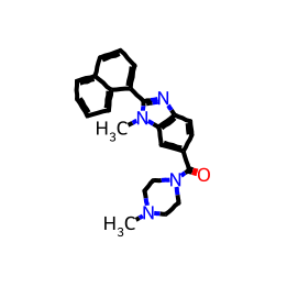 CN1CCN(C(=O)c2ccc3nc(-c4cccc5ccccc45)n(C)c3c2)CC1